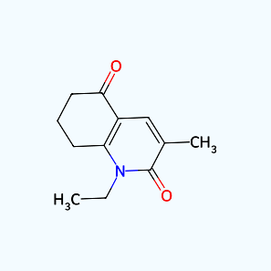 CCn1c2c(cc(C)c1=O)C(=O)CCC2